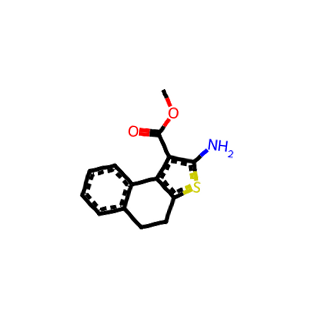 COC(=O)c1c(N)sc2c1-c1ccccc1CC2